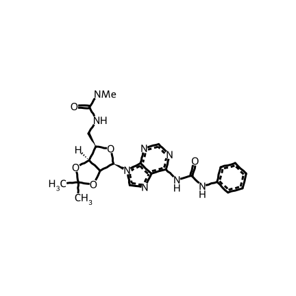 CNC(=O)NC[C@H]1O[C@@H](n2cnc3c(NC(=O)Nc4ccccc4)ncnc32)C2OC(C)(C)O[C@H]21